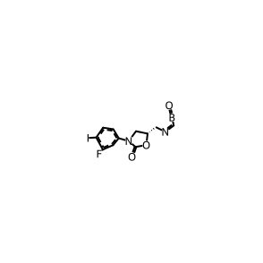 O=B/C=N\C[C@H]1CN(c2ccc(I)c(F)c2)C(=O)O1